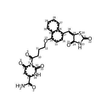 NC(=O)c1cc(=O)n(C(=O)CCCOc2ccc(C=C3SC(=O)NC3=O)c3ccccc23)c(=O)[nH]1